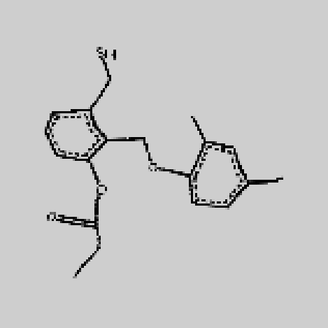 CCC(=O)Oc1cccc(CS)c1COc1ccc(C)cc1C